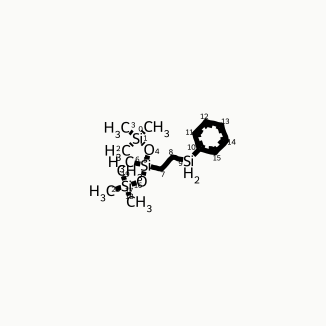 C[Si](C)(C)O[Si](C)(CC[SiH2]c1ccccc1)O[Si](C)(C)C